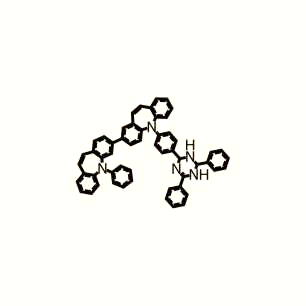 C1=Cc2cc(-c3ccc4c(c3)N(c3ccccc3)c3ccccc3C=C4)ccc2N(c2ccc(C3N=C(c4ccccc4)NC(c4ccccc4)N3)cc2)c2ccccc21